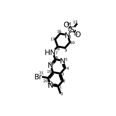 Cc1cc2cnc(NC3CCN(S(C)(=O)=O)CC3)nc2c(Br)n1